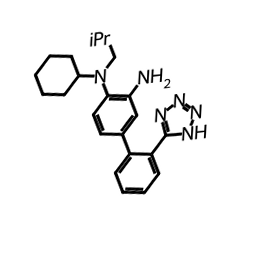 CC(C)CN(c1ccc(-c2ccccc2-c2nnn[nH]2)cc1N)C1CCCCC1